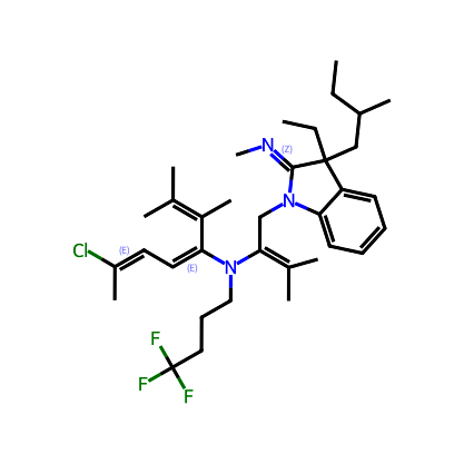 CCC(C)CC1(CC)/C(=N/C)N(CC(=C(C)C)N(CCCC(F)(F)F)/C(=C/C=C(\C)Cl)C(C)=C(C)C)c2ccccc21